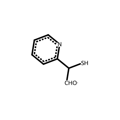 O=[C]C(S)c1ccccn1